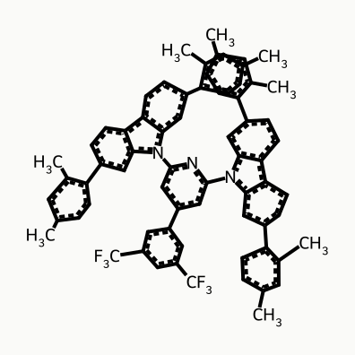 Cc1ccc(-c2ccc3c4ccc(-c5ccc(C)cc5C)cc4n(-c4cc(-c5cc(C(F)(F)F)cc(C(F)(F)F)c5)cc(-n5c6cc(-c7ccc(C)cc7C)ccc6c6ccc(-c7ccc(C)cc7C)cc65)n4)c3c2)c(C)c1